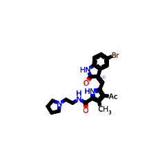 CC(=O)c1c(/C=C2\C(=O)Nc3ccc(Br)cc32)[nH]c(C(=O)NCCN2CCCC2)c1C